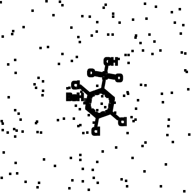 O=S(=O)(O)c1cc(Cl)c(Cl)cc1Cl.[BaH2]